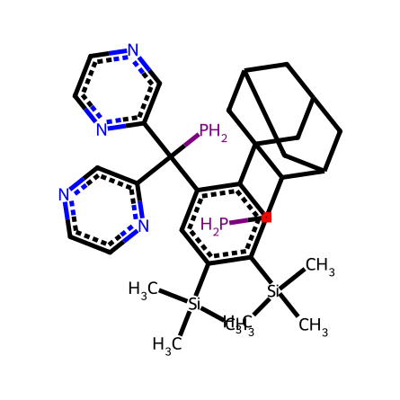 C[Si](C)(C)c1cc(C(P)(c2cnccn2)c2cnccn2)c(C23CC4CC(CC(C4)C2CP)C3)cc1[Si](C)(C)C